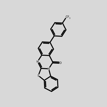 O=c1c2cc(-c3ccc(C(F)(F)F)cc3)ccc2nc2sc3ccccc3n12